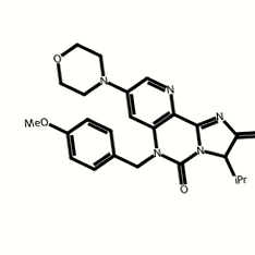 COc1ccc(CN2C(=O)N3C(=NC(=O)C3C(C)C)c3ncc(N4CCOCC4)cc32)cc1